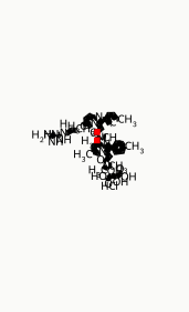 CCCCNC(=N)NC(=N)N.Cc1ccc(-c2nc3ccc(C)cn3c2CC(=O)N(C)C)cc1.Cc1ccc(-c2nc3ccc(C)cn3c2CC(=O)N(C)C)cc1.Cl.O=C(O)C(O)C(O)C(=O)O